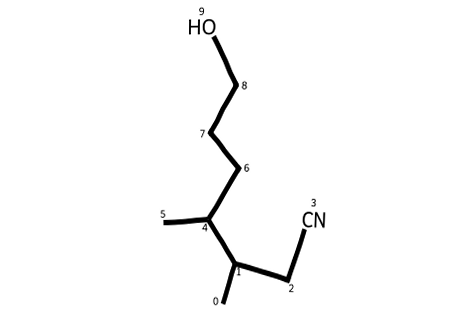 CC(CC#N)C(C)CCCO